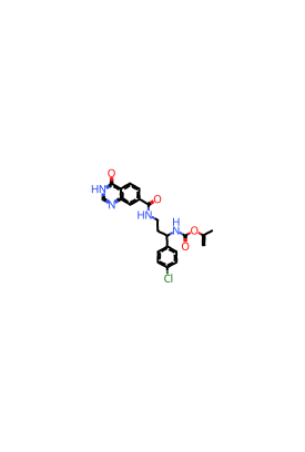 C=C(C)OC(=O)NC(CCNC(=O)c1ccc2c(=O)[nH]cnc2c1)c1ccc(Cl)cc1